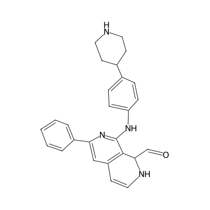 O=CC1NC=Cc2cc(-c3ccccc3)nc(Nc3ccc(C4CCNCC4)cc3)c21